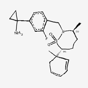 C[C@H]1CC[C@H](C2(C)C=CC=CC2)S(=O)(=O)N1Cc1ccc(C2(N)CC2)cc1F